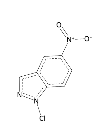 O=[N+]([O-])c1ccc2c(cnn2Cl)c1